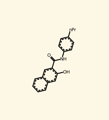 CCCc1ccc(NC(=O)c2cc3ccccc3cc2O)cc1